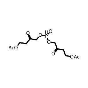 CC(=O)OCCC(=O)CO[PH](=O)OCC(=O)CCOC(C)=O